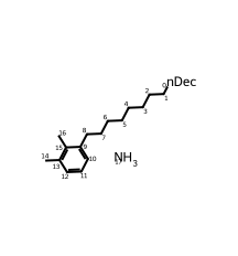 CCCCCCCCCCCCCCCCCCc1cccc(C)c1C.N